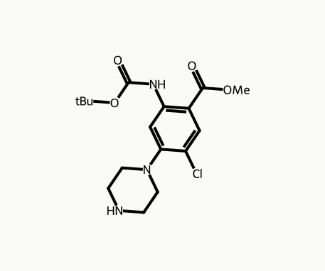 COC(=O)c1cc(Cl)c(N2CCNCC2)cc1NC(=O)OC(C)(C)C